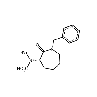 CC(C)(C)N(C(=O)O)[C@H]1CCCCN(Cc2ccccc2)C1=O